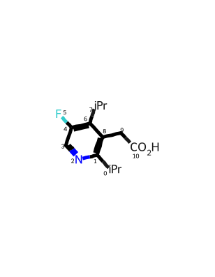 CC(C)c1ncc(F)c(C(C)C)c1CC(=O)O